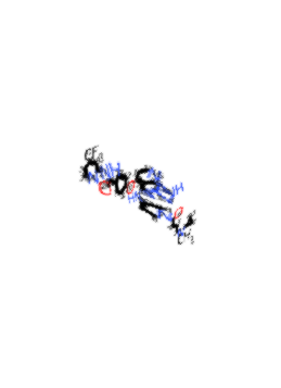 CN(CC=CC(=O)N1CCC(Nc2n[nH]c3nccc(Oc4ccc(C(=O)Nc5cc(C(F)(F)F)ccn5)cc4)c23)C1)C1CC1